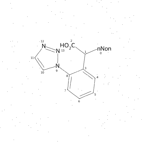 CCCCCCCCCC(C(=O)O)c1ccccc1-n1ccnn1